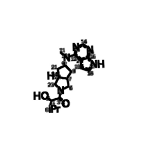 CC(C)[C@@H](O)C(=O)N1CC2C[C@@H](N(C)c3ncnc4[nH]ccc34)C[C@@H]2C1